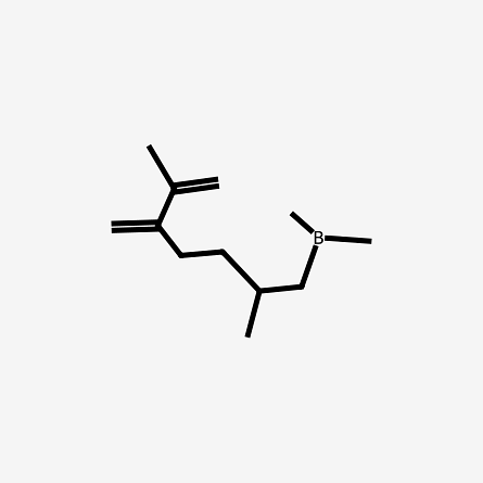 C=C(C)C(=C)CCC(C)CB(C)C